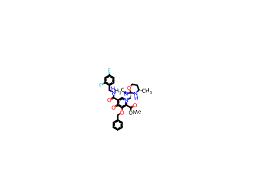 C=N[C@]1(Cn2cc(C(=O)NCc3ccc(F)cc3F)c(=O)c(OCc3ccccc3)c2C(=O)OC)N[C@@H](C)CCO1